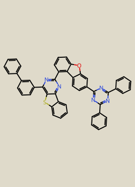 c1ccc(-c2cccc(-c3nc(-c4cccc5oc6cc(-c7nc(-c8ccccc8)nc(-c8ccccc8)n7)ccc6c45)nc4c3sc3ccccc34)c2)cc1